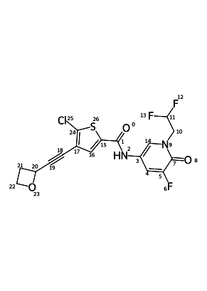 O=C(Nc1cc(F)c(=O)n(CC(F)F)c1)c1cc(C#CC2CCO2)c(Cl)s1